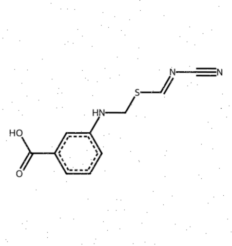 N#CN=CSCNc1cccc(C(=O)O)c1